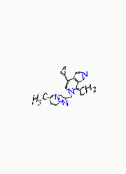 C=C1c2cnccc2C(C2CC2)=CN1Cc1cn2cc(C)ccc2n1